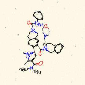 CCCCN(CCCC)C(=O)c1cc(-c2cc3c(cc2C(=O)N2Cc4ccccc4C[C@H]2CN2CCOCC2)CN(C(=O)Nc2ccccc2)CC3)n(C)c1C